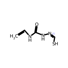 C=CNC(=O)N/N=C\S